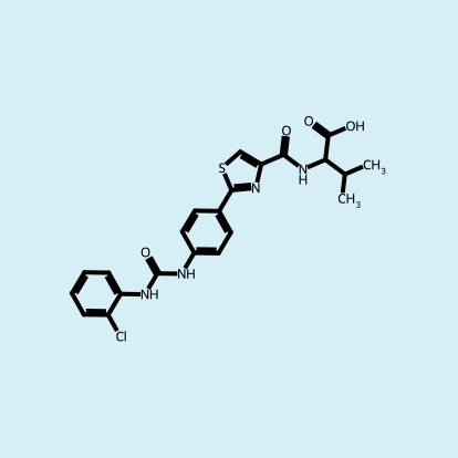 CC(C)C(NC(=O)c1csc(-c2ccc(NC(=O)Nc3ccccc3Cl)cc2)n1)C(=O)O